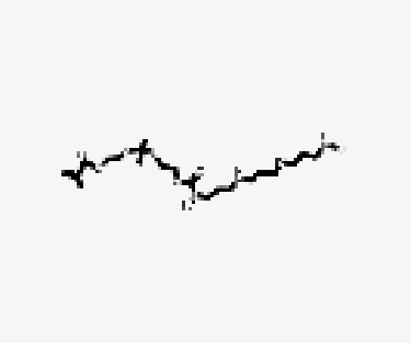 C=C(C)C(=O)OCCSC(C)(C)SCCOC(=O)N(CC)CCCNCCCNCCCNCC